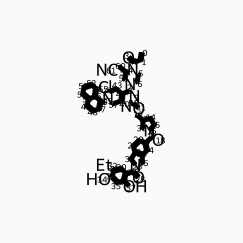 C=CC(=O)N1CCN(c2nc(OCC3CCN(C(=O)c4ccc5c(c4)CN(C(=O)c4cc(CC)c(O)cc4O)C5)C3)nc3c2CCN(c2cccc4cccc(Cl)c24)C3)CC1CC#N